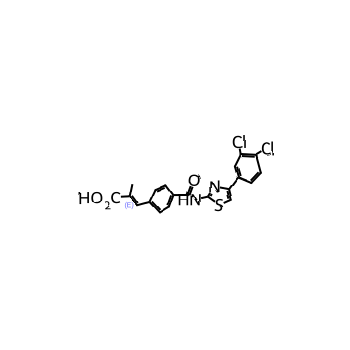 C/C(=C\c1ccc(C(=O)Nc2nc(-c3ccc(Cl)c(Cl)c3)cs2)cc1)C(=O)O